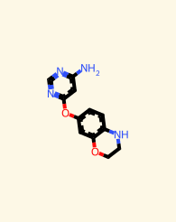 Nc1cc(Oc2ccc3c(c2)OCCN3)ncn1